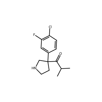 CC(C)C(=O)C1(c2ccc(Cl)c(F)c2)CCNC1